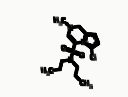 CCCN(CCC)S(=O)(=O)C1=CN(C)Cc2ccc(Cl)n21